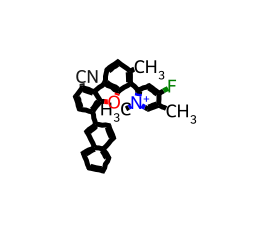 Cc1c[n+](C)c(-c2c(C)ccc3c2oc2c(-c4ccc5ccccc5c4)ccc(C#N)c23)cc1F